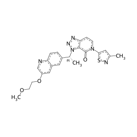 COCCOc1cnc2ccc([C@@H](C)n3nnc4ccn(-c5cc(C)ns5)c(=O)c43)cc2c1